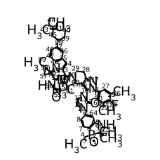 CCP(=O)(CC)c1ccc(-n2ccn(-c3c4c(nn3-c3cc(C)c(F)c(C)c3)CCN(C(=O)c3cc5cc([C@@H]6CCOC(C)(C)C6)ccc5n3[C@@]3(c5noc(=O)[nH]5)C[C@@H]3C)[C@H]4C)c2=O)cc1NC